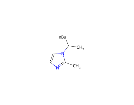 CCCCC(C)n1ccnc1C